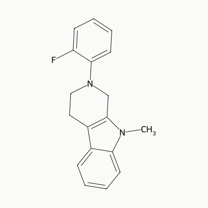 Cn1c2c(c3ccccc31)CCN(c1ccccc1F)C2